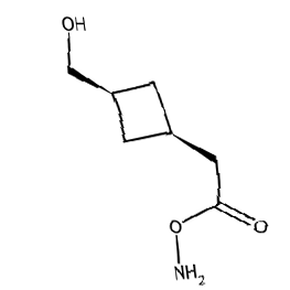 NOC(=O)C[C@H]1C[C@@H](CO)C1